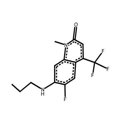 CCCNc1cc2c(cc1F)c(C(F)(F)F)cc(=O)n2C